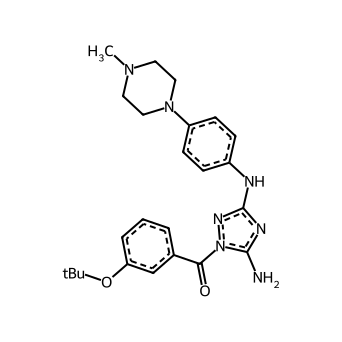 CN1CCN(c2ccc(Nc3nc(N)n(C(=O)c4cccc(OC(C)(C)C)c4)n3)cc2)CC1